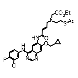 CCOC(=O)CN(CC=CC(=O)Nc1cc2c(Nc3ccc(F)c(Cl)c3)ncnc2cc1OCC1CC1)CCSC(C)=O